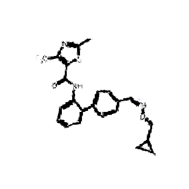 Cc1nc(C(F)(F)F)c(C(=O)Nc2ccccc2-c2ccc(/C=N\OCC3CC3)cc2)s1